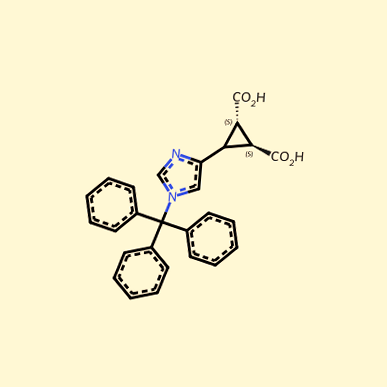 O=C(O)[C@H]1C(c2cn(C(c3ccccc3)(c3ccccc3)c3ccccc3)cn2)[C@@H]1C(=O)O